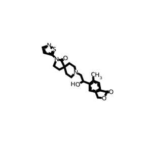 Cc1cc2c(cc1C(O)CN1CCC3(CC1)CCN(c1ccns1)C3=O)COC2=O